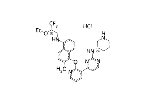 CCO[C@@H](CNc1cccc2c(Oc3ncccc3-c3ccnc(N[C@H]4CCCNC4)n3)c(C)ccc12)C(F)(F)F.Cl